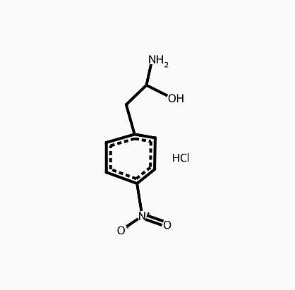 Cl.NC(O)Cc1ccc([N+](=O)[O-])cc1